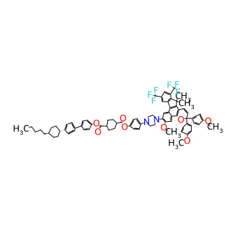 CCCCC[C@H]1CC[C@H](c2ccc(-c3ccc(OC(=O)C4CCC(C(=O)Oc5ccc(N6CCN(c7cc8c9c(c%10c(c8cc7OC)OC(c7ccc(OC)cc7)(c7ccc(OC)cc7)C=C%10)C(C)(C)c7c-9cc(C(F)(F)F)cc7C(F)(F)F)CC6)cc5)CC4)cc3)cc2)CC1